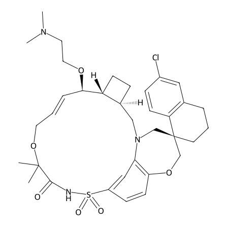 CN(C)CCO[C@@H]1/C=C/COC(C)(C)C(=O)NS(=O)(=O)c2ccc3c(c2)N(C[C@@H]2CC[C@H]21)C[C@@]1(CCCc2cc(Cl)ccc21)CO3